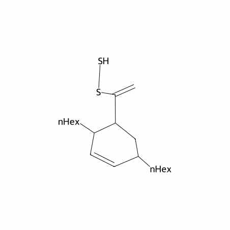 C=C(SS)C1CC(CCCCCC)C=CC1CCCCCC